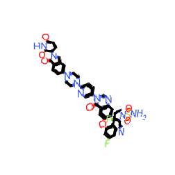 N#CC1N(S(N)(=O)=O)CCC1(F)c1ccc(F)cc1Oc1ccc2ncn(-c3ccc(N4CCN(c5ccc6c(c5)CN(C5CCC(=O)NC5=O)C6=O)CC4)nc3)c(=O)c2c1